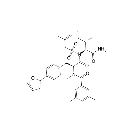 C=C(C)CS(=O)(=O)N(C(=O)[C@H](Cc1ccc(-c2ccno2)cc1)N(C)C(=O)c1cc(C)cc(C)c1)[C@H](C(N)=O)[C@@H](C)CC